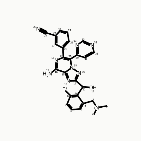 CN(C)Cc1cccc(F)c1C(O)c1nc2c(N)nc(-c3cccc(C#N)c3)c(-c3ccncn3)n2n1